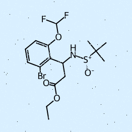 CCOC(=O)CC(N[S@@+]([O-])C(C)(C)C)c1c(Br)cccc1OC(F)F